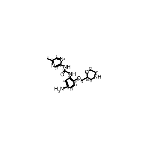 Cc1cnc(NC(=O)Nc2cc(N)ccc2OCC2CNCCO2)cn1